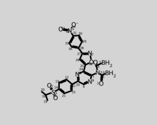 BC(=O)N(C(B)=O)c1ncc(-c2ccc(S(=O)(=O)C(C)C)cc2)nc1-c1cc(-c2ccc([N+](=O)[O-])cc2)no1